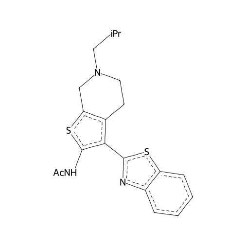 CC(=O)Nc1sc2c(c1-c1nc3ccccc3s1)CCN(CC(C)C)C2